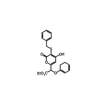 CCOC(=O)C(OC1=CC=CCC1)c1cc(O)c(SCc2ccccc2)c(=O)o1